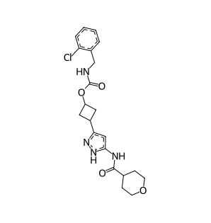 O=C(NCc1ccccc1Cl)OC1CC(c2cc(NC(=O)C3CCOCC3)[nH]n2)C1